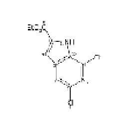 CCOC(=O)c1cc2cc(Cl)nc(Cl)c2[nH]1